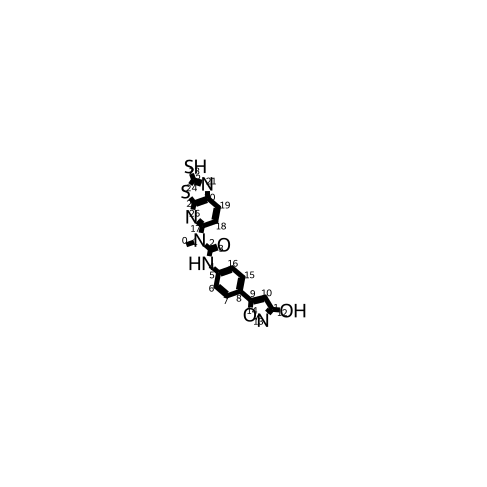 CN(C(=O)Nc1ccc(-c2cc(O)no2)cc1)c1ccc2nc(S)sc2n1